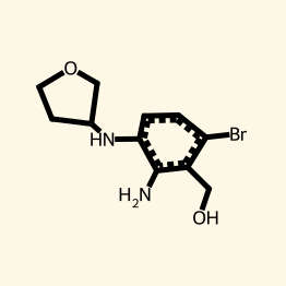 Nc1c(NC2CCOC2)ccc(Br)c1CO